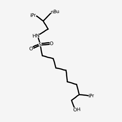 CCCCC(CNS(=O)(=O)CCCCCCC(CO)C(C)C)C(C)C